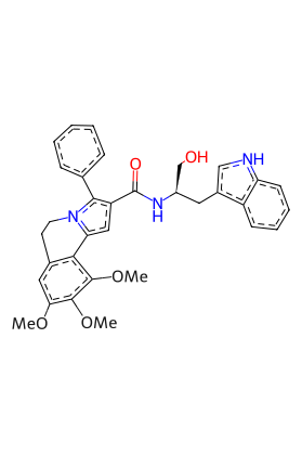 COc1cc2c(c(OC)c1OC)-c1cc(C(=O)N[C@@H](CO)Cc3c[nH]c4ccccc34)c(-c3ccccc3)n1CC2